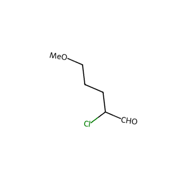 COCCCC(Cl)C=O